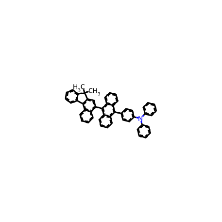 CC1(C)c2ccccc2-c2c1cc(-c1c3ccccc3c(-c3ccc(N(c4ccccc4)c4ccccc4)cc3)c3ccccc13)c1ccccc21